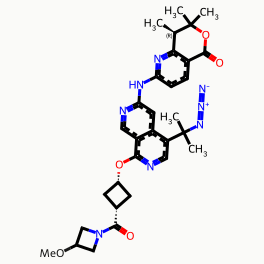 COC1CN(C(=O)[C@H]2C[C@@H](Oc3ncc(C(C)(C)N=[N+]=[N-])c4cc(Nc5ccc6c(n5)[C@@H](C)C(C)(C)OC6=O)ncc34)C2)C1